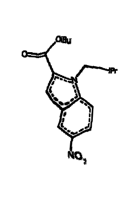 CC(C)COC(=O)c1cc2cc([N+](=O)[O-])ccc2n1CC(C)C